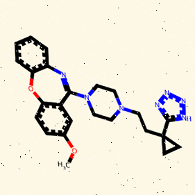 COc1ccc2c(c1)C(N1CCN(CCC3(c4nnn[nH]4)CC3)CC1)=Nc1ccccc1O2